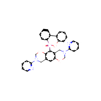 O=P1(c2c3c(cc4c2OCN(c2ccccn2)C4)OCN(c2ccccn2)C3)Oc2ccccc2-c2c#cccc21